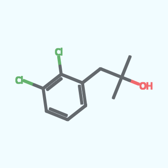 CC(C)(O)Cc1cccc(Cl)c1Cl